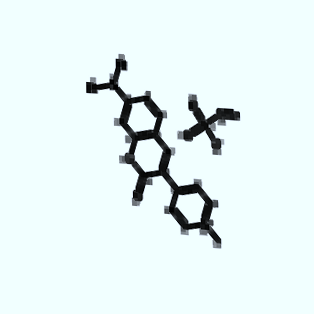 CCN(CC)c1ccc2cc(-c3cc[n+](C)cc3)c(=O)oc2c1.COS(=O)(=O)[O-]